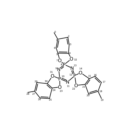 Cc1ccc2c(c1)OP1(=NP3(=NP4(=N1)Oc1ccc(C)cc1O4)Oc1ccc(C)cc1O3)O2